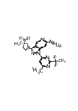 CCN(CC)[C@]1(C)CCN(c2nn(-c3cc(C)nc(C(C)(F)F)n3)c3cc(NC(C)=O)ncc23)C1